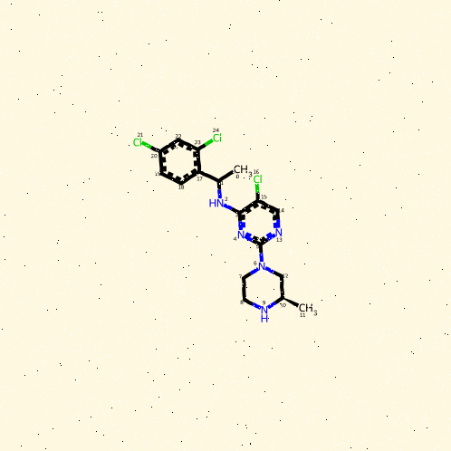 CC(Nc1nc(N2CCN[C@H](C)C2)ncc1Cl)c1ccc(Cl)cc1Cl